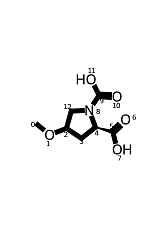 COC1C[C@H](C(=O)O)N(C(=O)O)C1